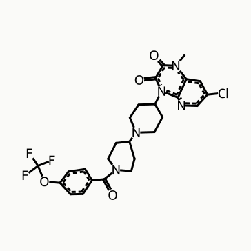 Cn1c(=O)c(=O)n(C2CCN(C3CCN(C(=O)c4ccc(OC(F)(F)F)cc4)CC3)CC2)c2ncc(Cl)cc21